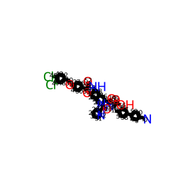 N#Cc1ccc(-c2ccc(C[C@H](NC(=O)C3Cc4cc5c(cc4CN3C(=O)c3ccccn3)OC(c3ccc(OCc4ccc(Cl)c(Cl)c4)cc3)C(=O)N5)C(=O)O)cc2)cc1